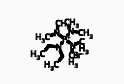 CCN(CC)[P+](N(C)C)(N(C)C)N(C)C.[Br-]